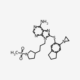 CS(=O)(=O)N1CCC(CCCn2c(Sc3cc4c(cc3N3CC3)CCC4)nc3c(N)ncnc32)C1